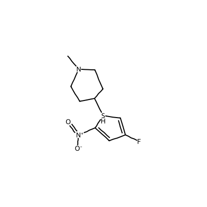 CN1CCC([SH]2C=C(F)C=C2[N+](=O)[O-])CC1